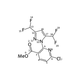 COC(=O)c1ccc(Cl)nc1-n1nc(C(F)F)cc1C(F)F